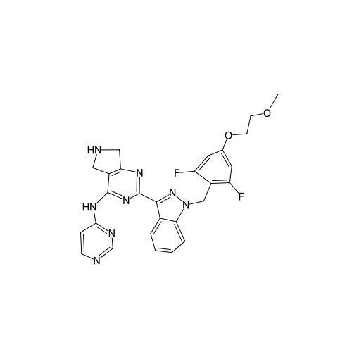 COCCOc1cc(F)c(Cn2nc(-c3nc4c(c(Nc5ccncn5)n3)CNC4)c3ccccc32)c(F)c1